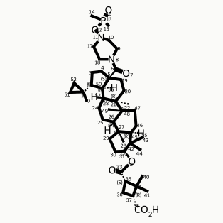 CC1([C@@H]2CC[C@]3(C(=O)N4CCN(OP(C)(C)=O)CC4)CC[C@]4(C)[C@H](CC[C@@H]5[C@@]6(C)CC[C@H](OC(=O)[C@H]7C[C@@H](C(=O)O)C7(C)C)C(C)(C)[C@@H]6CC[C@]54C)[C@@H]23)CC1